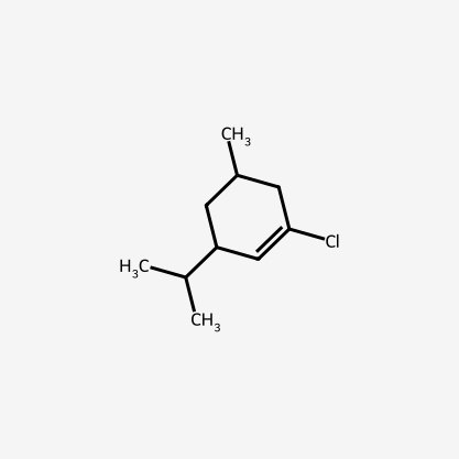 CC1CC(Cl)=CC(C(C)C)C1